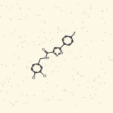 O=C(NCc1ccc(Cl)c(Cl)c1)c1cc(-c2ccc(F)cc2)on1